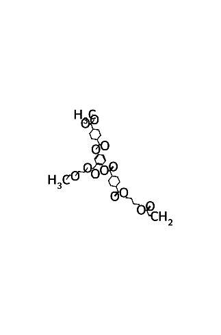 C=CC(=O)OCCCCOC(=O)C1CCC(C(=O)Oc2ccc(OC(=O)C3CCC(C(=O)OC)CC3)cc2C(=O)OCCOCC)CC1